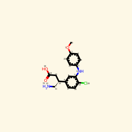 COc1ccc(Nc2cc([C@H](CN)CC(=O)O)ccc2Cl)cc1